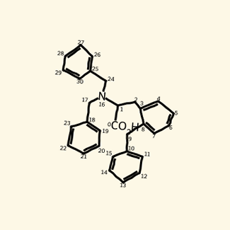 O=C(O)C(Cc1ccccc1Cc1ccccc1)N(Cc1ccccc1)Cc1ccccc1